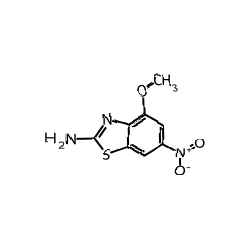 COc1cc([N+](=O)[O-])cc2sc(N)nc12